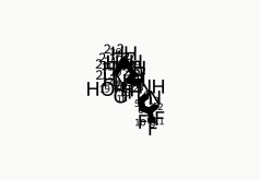 [2H]C([2H])(Nc1ccc(C(F)(F)F)cn1)[C@@]1([2H])N(C(=O)O)C([2H])([2H])[C@@]2([2H])C([2H])([2H])[C@@]2([2H])C1([2H])[2H]